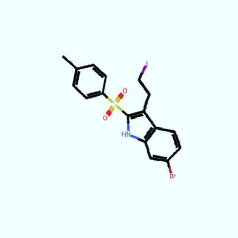 Cc1ccc(S(=O)(=O)c2[nH]c3cc(Br)ccc3c2CCI)cc1